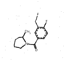 CC1CCCN1C(=O)c1ccc(F)c(CF)c1